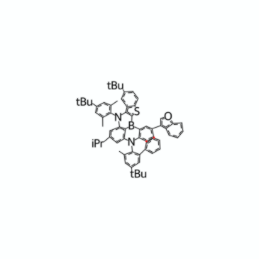 Cc1cc(C(C)(C)C)cc(C)c1N1c2cc(C(C)C)cc3c2B(c2cc(-c4coc5ccccc45)ccc2N3c2c(C)cc(C(C)(C)C)cc2-c2ccccc2)c2sc3ccc(C(C)(C)C)cc3c21